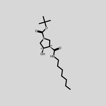 CCCCCCCNC(=O)[C@@H]1CN(C(=O)OC(C)(C)C)C[C@@H]1O